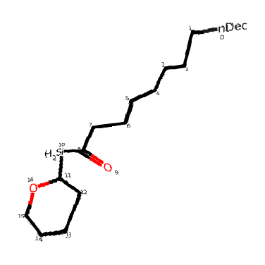 CCCCCCCCCCCCCCCCCC(=O)[SiH2]C1CCCCO1